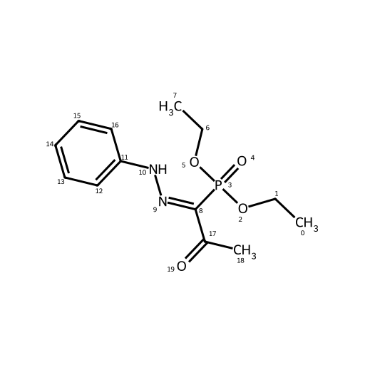 CCOP(=O)(OCC)C(=NNc1ccccc1)C(C)=O